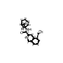 C#Cc1cccc2cnc(C(=O)N[C@H]3CN4CCC3CC4)cc12